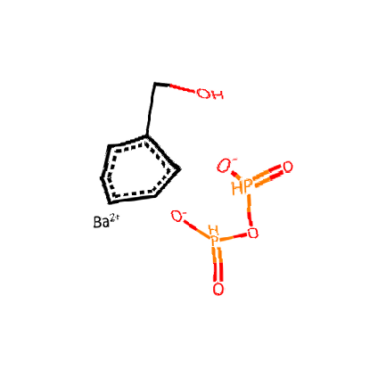 O=[PH]([O-])O[PH](=O)[O-].OCc1ccccc1.[Ba+2]